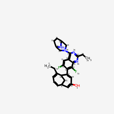 CCC1=CC=CC2C=C(O)C=C(c3c(F)cc4c(N5CC6CCC(C5)N6)nc(CC)nc4c3F)C1C2